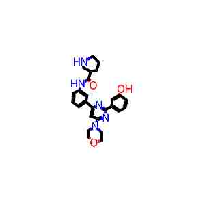 O=C(Nc1cccc(-c2cc(N3CCOCC3)nc(-c3cccc(O)c3)n2)c1)C1CCCNC1